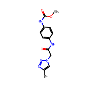 CC(C)c1cn(CC(=O)Nc2ccc(NC(=O)OC(C)(C)C)cc2)nn1